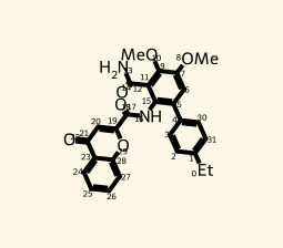 [CH2]Cc1ccc(-c2cc(OC)c(OC)c(C(N)=O)c2NC(=O)c2cc(=O)c3ccccc3o2)cc1